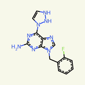 Nc1nc(N2C=CNN2)c2ncn(Cc3ccccc3F)c2n1